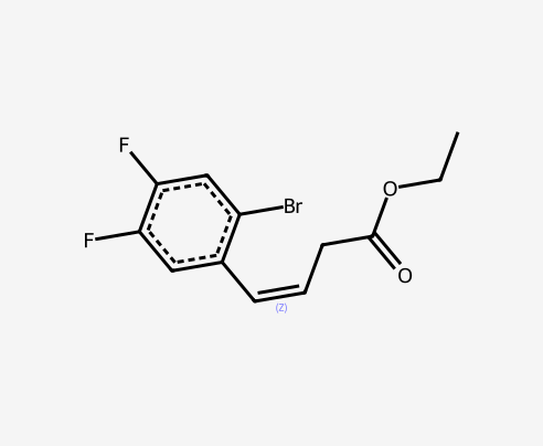 CCOC(=O)C/C=C\c1cc(F)c(F)cc1Br